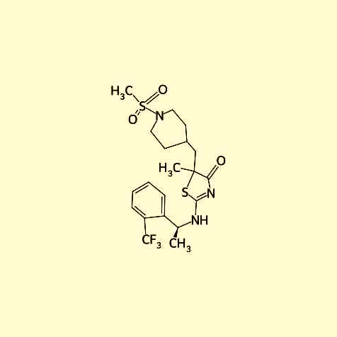 C[C@H](NC1=NC(=O)C(C)(CC2CCN(S(C)(=O)=O)CC2)S1)c1ccccc1C(F)(F)F